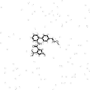 CO/N=C/c1ccc(-c2ccccc2NC(=O)c2cn(C)cc2C(C)C)cc1